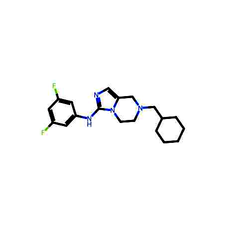 Fc1cc(F)cc(Nc2ncc3n2CCN(CC2CCCCC2)C3)c1